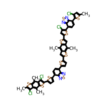 Cc1cc(Cl)c(-c2ccc(-c3sc(-c4cc5c(C)c6sc(-c7ccc(-c8ccc(-c9ccc(-c%10sc%11c(C)c%12c(Cl)c(C)sc%12c(C)c%11c%10Cl)s9)c9nsnc89)s7)cc6c(C)c5s4)cc3Cl)c3nsnc23)s1